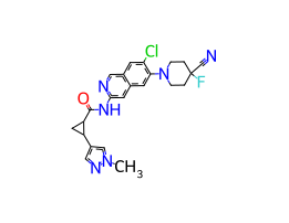 Cn1cc(C2CC2C(=O)Nc2cc3cc(N4CCC(F)(C#N)CC4)c(Cl)cc3cn2)cn1